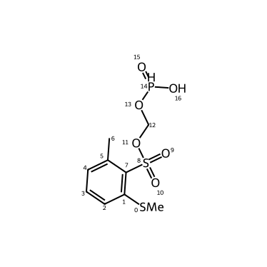 CSc1cccc(C)c1S(=O)(=O)OCO[PH](=O)O